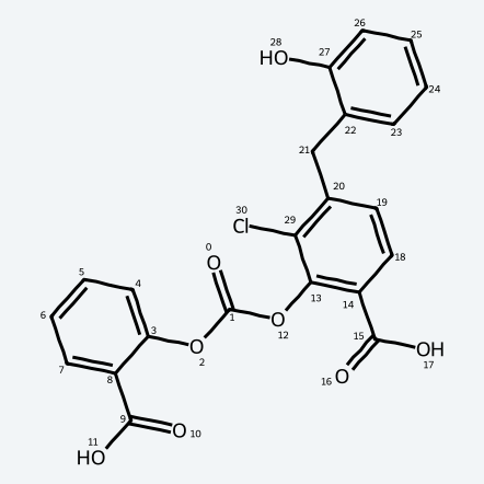 O=C(Oc1ccccc1C(=O)O)Oc1c(C(=O)O)ccc(Cc2ccccc2O)c1Cl